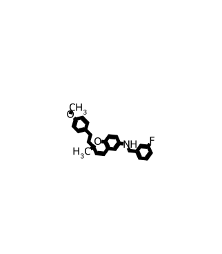 COc1ccc(CCC2(C)C=Cc3cc(NCc4cccc(F)c4)ccc3O2)cc1